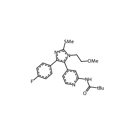 COCCn1c(SC)nc(-c2ccc(F)cc2)c1-c1ccnc(NC(=O)C(C)(C)C)c1